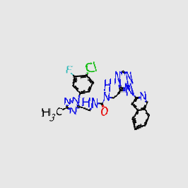 Cc1nc(CNC(=O)NCc2ncnn2-c2cc3ccccc3cn2)n(-c2ccc(Cl)c(F)c2)n1